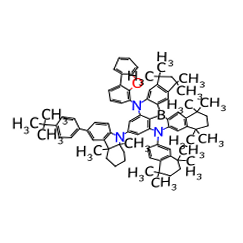 CC(C)(C)c1ccc(-c2ccc3c(c2)C2(C)CCCCC2(C)N3c2cc3c4c(c2)N(c2cccc5c2oc2ccccc25)c2cc5c(cc2B4c2cc4c(cc2N3c2ccc3c(c2)C(C)(C)CCC3(C)C)C(C)(C)CCC4(C)C)C(C)(C)CC5(C)C)cc1